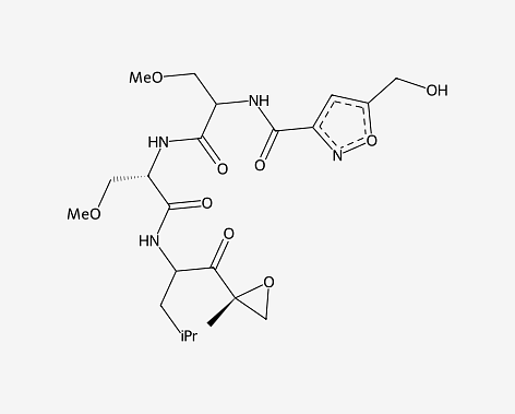 COCC(NC(=O)c1cc(CO)on1)C(=O)N[C@@H](COC)C(=O)NC(CC(C)C)C(=O)[C@@]1(C)CO1